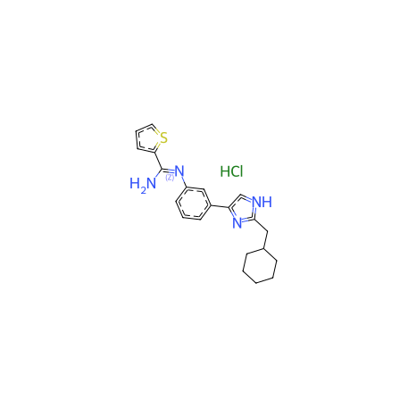 Cl.N/C(=N\c1cccc(-c2c[nH]c(CC3CCCCC3)n2)c1)c1cccs1